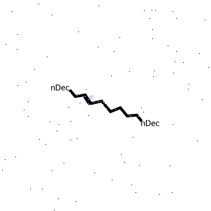 [CH2]CCCCCCCCCC/C=C/CCCCCCCCCCCCCC[CH2]